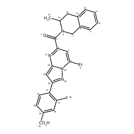 CCc1cc(C(=O)N2Cc3ccccc3CC2C)nc2cc(-c3ccc(C(=O)O)cc3F)nn12